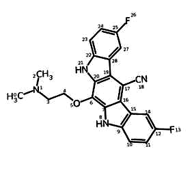 CN(C)CCOc1c2[nH]c3ccc(F)cc3c2c(C#N)c2c1[nH]c1ccc(F)cc12